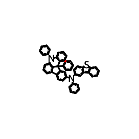 c1ccc(N(c2ccc3c(c2)C2(c4ccccc4)c4ccccc4N(c4ccccc4)c4cccc-3c42)c2ccc3sc4ccccc4c3c2)cc1